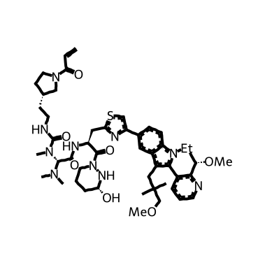 C=CC(=O)N1CC[C@@H](CCNC(=O)N(C)[C@H](C(=O)N[C@@H](Cc2nc(-c3ccc4c(c3)c(CC(C)(C)COC)c(-c3cccnc3[C@H](C)OC)n4CC)cs2)C(=O)N2CCC[C@@H](O)N2)N(C)C)C1